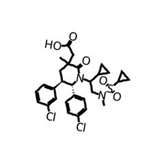 CN(CC(C1CC1)N1C(=O)C(C)(CC(=O)O)C[C@H](c2cccc(Cl)c2)[C@H]1c1ccc(Cl)cc1)S(=O)(=O)C1CC1